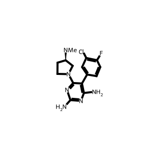 CN[C@@H]1CCN(c2nc(N)nc(N)c2-c2ccc(F)c(Cl)c2)C1